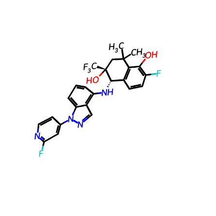 CC1(C)C[C@](O)(C(F)(F)F)[C@@H](Nc2cccc3c2cnn3-c2ccnc(F)c2)c2ccc(F)c(O)c21